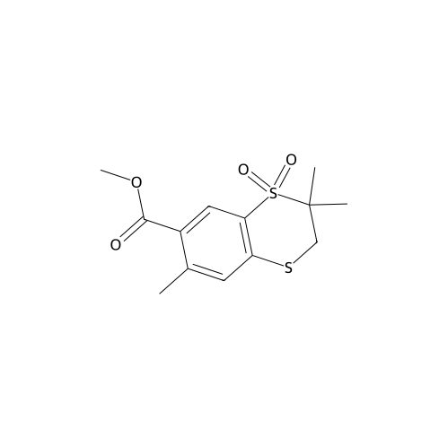 COC(=O)c1cc2c(cc1C)SCC(C)(C)S2(=O)=O